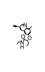 C#Cc1cnc2c(C)cc(OC(CC)C(=O)NCC)cc2c1